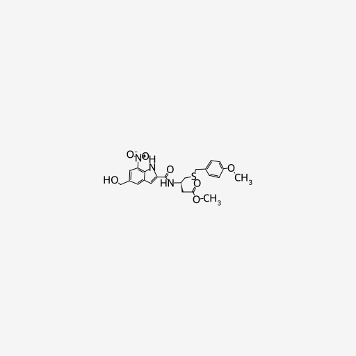 COC(=O)C[C@H](CSCc1ccc(OC)cc1)NC(=O)c1cc2cc(CO)cc([N+](=O)[O-])c2[nH]1